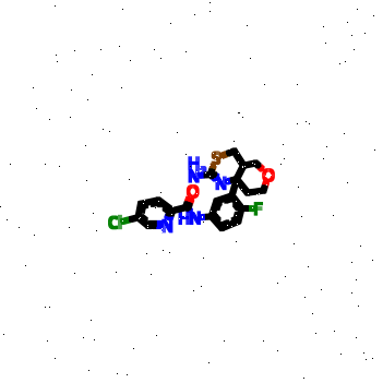 NC1=NC2(c3cc(NC(=O)c4ccc(Cl)cn4)ccc3F)CCOCC2CS1